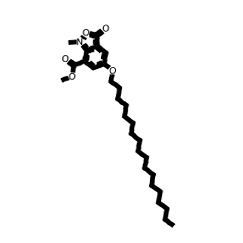 CCCCCCCCCCCCCCCCCCOc1cc(C(=O)OC)c2c(c1)c(=O)on2C